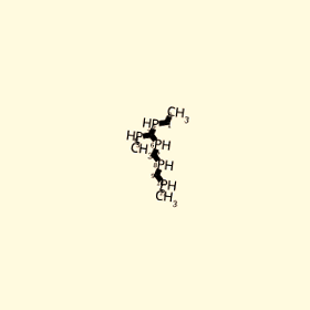 CCPC(PC)PCPCPC